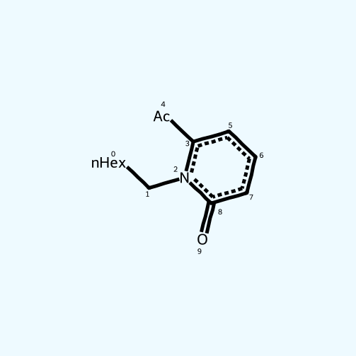 CCCCCCCn1c(C(C)=O)cccc1=O